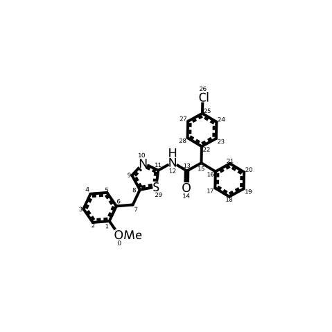 COc1ccccc1Cc1cnc(NC(=O)C(c2ccccc2)c2ccc(Cl)cc2)s1